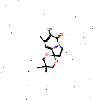 Cc1cc2n(c(=O)c1C#N)CCC21OCC(C)(C)CO1